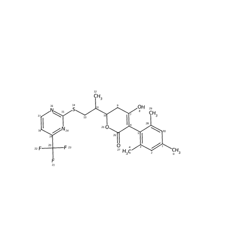 Cc1cc(C)c(C2=C(O)CC(C(C)CSc3nccc(C(F)(F)F)n3)OC2=O)c(C)c1